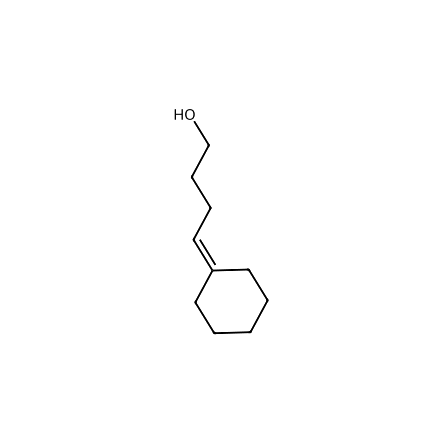 OCCCC=C1CCCCC1